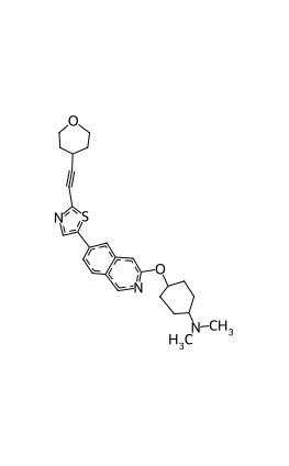 CN(C)C1CCC(Oc2cc3cc(-c4cnc(C#CC5CCOCC5)s4)ccc3cn2)CC1